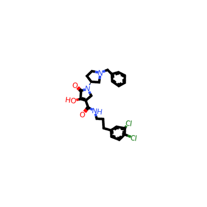 O=C(NCCCc1ccc(Cl)c(Cl)c1)C1=C(O)C(=O)N([C@@H]2CCN(Cc3ccccc3)C2)C1